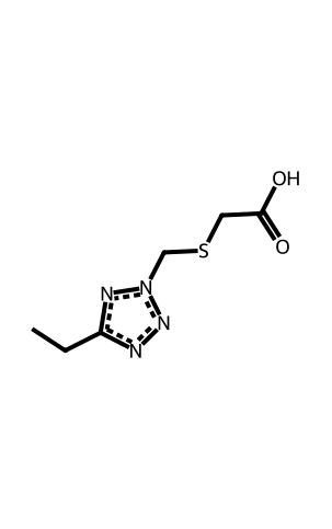 CCc1nnn(CSCC(=O)O)n1